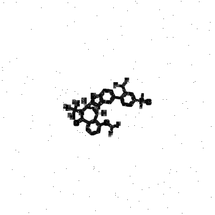 [2H]C([2H])([2H])N1C(=O)c2cccc(OC(F)F)c2[C@H]2C[C@@H]1c1nc3ccc(-c4ccc(P(C)(C)=O)cc4C(F)F)cc3n12